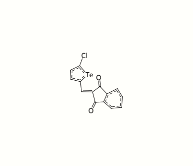 O=C1C(=Cc2ccc(Cl)[te]2)C(=O)c2ccccc21